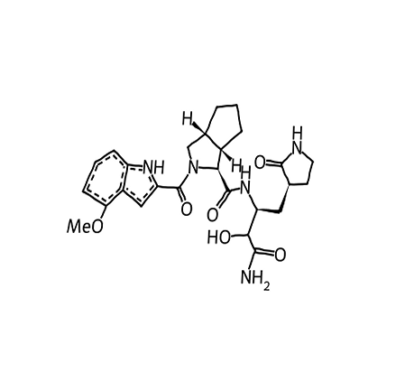 COc1cccc2[nH]c(C(=O)N3C[C@@H]4CCC[C@@H]4[C@H]3C(=O)N[C@@H](C[C@@H]3CCNC3=O)C(O)C(N)=O)cc12